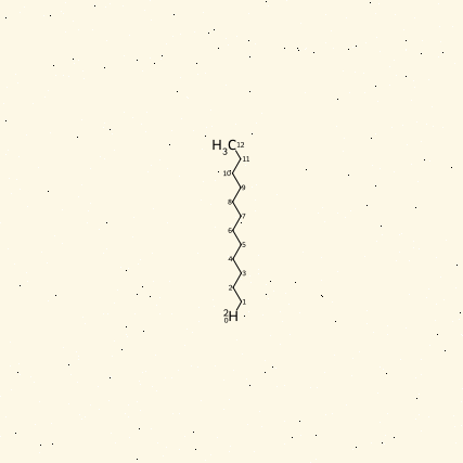 [2H]CCCCCCCCCCCC